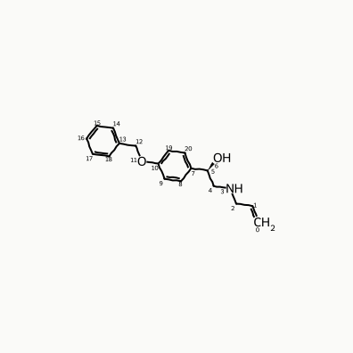 C=CCNC[C@H](O)c1ccc(OCc2ccccc2)cc1